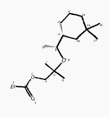 CCC(=O)OCC(C)(C)O[C@H](C)[C@@H]1CCCC(C)(C)C1